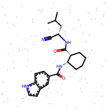 CC(C)C[C@@H](C#N)NC(=O)[C@@H]1CCCC[C@@H]1NC(=O)c1ccc2[nH]ccc2c1